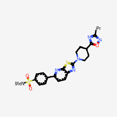 CNS(=O)(=O)c1ccc(-c2ccc3nc(N4CCC(c5nc(C(C)C)no5)CC4)sc3n2)cc1